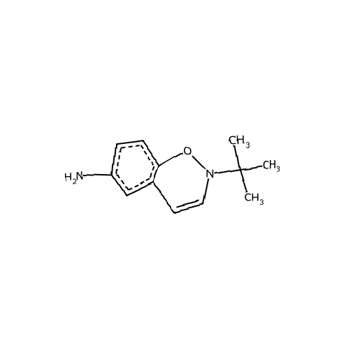 CC(C)(C)N1C=Cc2cc(N)ccc2O1